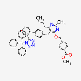 CCCCc1nc(C)nc(OCc2ccc(C(=O)OC)cc2)c1Cc1ccc(-c2ccccc2-c2nnnn2C(c2ccccc2)(c2ccccc2)c2ccccc2)cc1